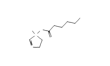 CCCCCC(=O)O[N+]1([O-])C=NCC1